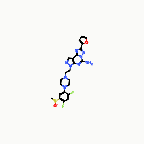 C[S+]([O-])c1cc(N2CCN(CCn3ncc4c3nc(N)n3nc(-c5ccco5)nc43)CC2)c(F)cc1F